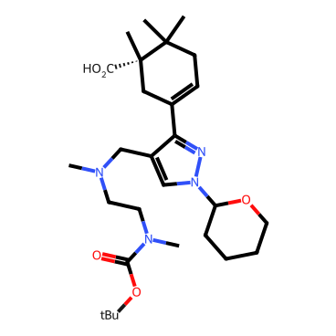 CN(CCN(C)C(=O)OC(C)(C)C)Cc1cn(C2CCCCO2)nc1C1=CCC(C)(C)[C@@](C)(C(=O)O)C1